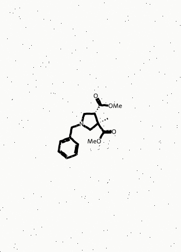 COC(=O)[C@H]1CN(Cc2ccccc2)C[C@]1(C)C(=O)OC